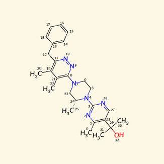 Cc1nc(N2CCN(c3nnc(Cc4ccccc4)c(C)c3C)C[C@H]2C)ncc1C(C)(C)O